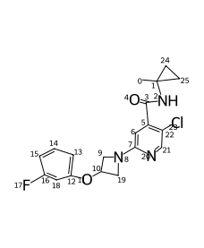 CC1(NC(=O)c2cc(N3CC(Oc4cccc(F)c4)C3)ncc2Cl)CC1